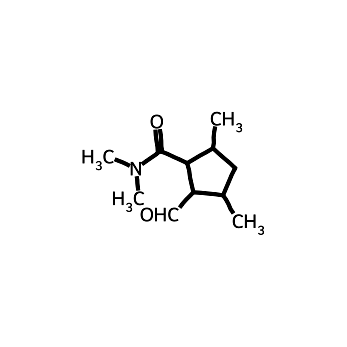 CC1CC(C)C(C(=O)N(C)C)C1C=O